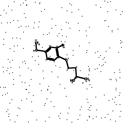 CC(O)CCOc1ccc(OC(F)(F)F)cc1Br